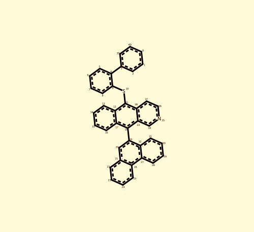 c1ccc(-c2ccccc2Sc2c3ccccc3c(-c3cc4ccccc4c4ccccc34)c3cnccc23)cc1